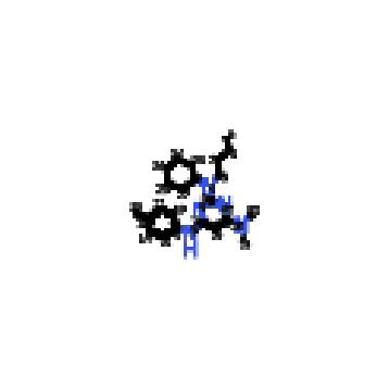 CCCCN(c1nc(Nc2ccc(C)cc2)cc(N(C)C)n1)C1CCCCC1